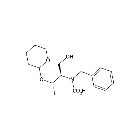 C[C@H](OC1CCCCO1)[C@@H](CO)N(Cc1ccccc1)C(=O)O